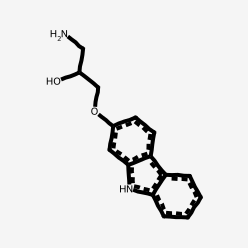 NCC(O)COc1ccc2c(c1)[nH]c1ccccc12